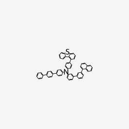 c1ccc(-c2ccc(-c3ccc(N(c4ccc(-c5cccc6sc7ccccc7c56)cc4)c4cccc(-c5cccc(-c6cccc7ccccc67)c5)c4)cc3)cc2)cc1